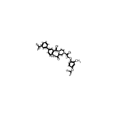 Cc1cc(OC(F)F)ccc1OCC(=O)N1CCN2C(=O)c3cc(-c4cccc(C(F)F)c4)ccc3NC(=O)C2C1